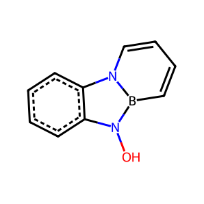 ON1B2C=CC=CN2c2ccccc21